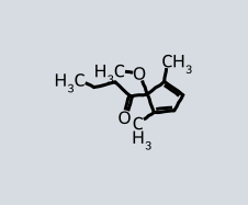 CCCC(=O)C1(OC)C(C)=CC=C1C